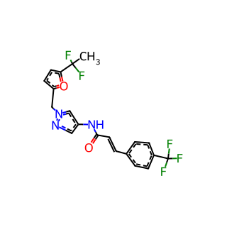 CC(F)(F)c1ccc(Cn2cc(NC(=O)C=Cc3ccc(C(F)(F)F)cc3)cn2)o1